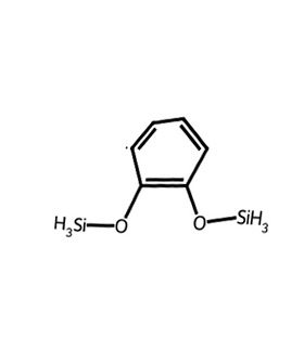 [SiH3]Oc1[c]cccc1O[SiH3]